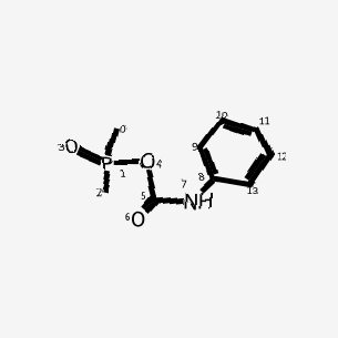 CP(C)(=O)OC(=O)Nc1ccccc1